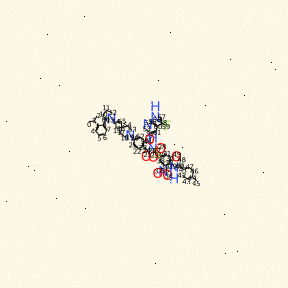 CC(C)c1ccccc1[C@H]1CCCN1C1CC2(CCN(c3ccc(C(=O)NS(=O)(=O)c4cc5c(c([N+](=O)[O-])c4)N[C@@H]([C@H]4CC[C@H](C)CC4)CO5)c(Oc4cnc5[nH]cc(F)c5c4)c3)CC2)C1